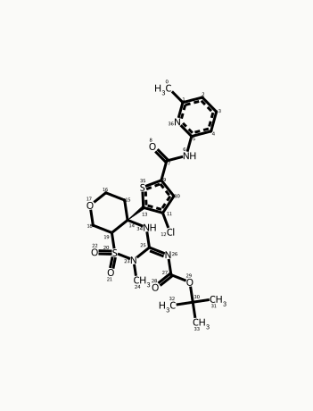 Cc1cccc(NC(=O)c2cc(Cl)c([C@]34CCOCC3S(=O)(=O)N(C)/C(=N\C(=O)OC(C)(C)C)N4)s2)n1